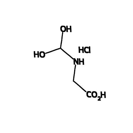 Cl.O=C(O)CNC(O)O